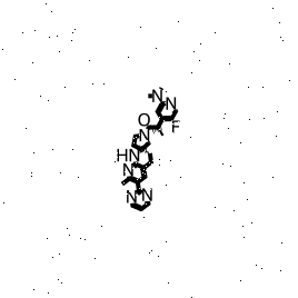 Cc1nc2c(cc1-c1ncccn1)CC[C@@]1(CCN(C(=O)[C@H](C)c3cc(N(C)C)ncc3F)C1)N2